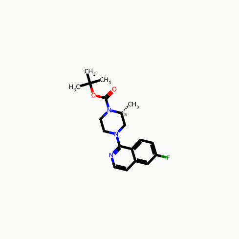 C[C@@H]1CN(c2nccc3cc(F)ccc23)CCN1C(=O)OC(C)(C)C